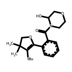 CC(C)(C)C1=C(c2ccccc2C(=O)N2CCOCC2O)OCC1(C)C